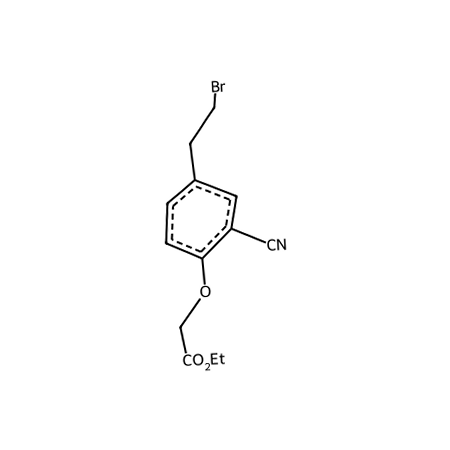 CCOC(=O)COc1ccc(CCBr)cc1C#N